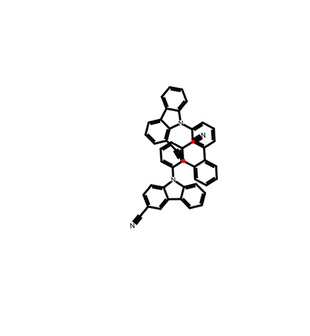 N#Cc1ccc2c(c1)c1ccccc1n2-c1cccc(C#N)c1-c1ccccc1-c1cccc(-n2c3ccccc3c3cccc(C#N)c32)c1